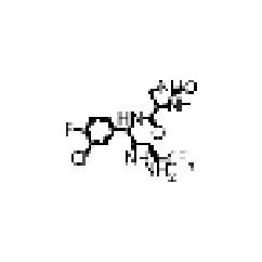 N=C(/C=C(\N)C(F)(F)F)C(NC(=O)C1CNC(=O)N1)c1ccc(F)c(Cl)c1